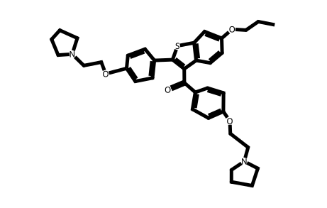 CCCOc1ccc2c(C(=O)c3ccc(OCCN4CCCC4)cc3)c(-c3ccc(OCCN4CCCC4)cc3)sc2c1